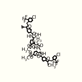 CCc1c(Cc2ccc(Cl)cc2C(F)(F)F)oc2cc(C(=O)N[C@@H](CNC(=O)C(C)Cc3nc([C@H](CO)NC(=O)c4ccc5c(C6CC6)c(Cc6ccc(Cl)cc6C(F)(F)F)oc5c4)ccc3S(=O)(=O)CC)c3ccc(S(=O)(=O)CC)cn3)ccc12